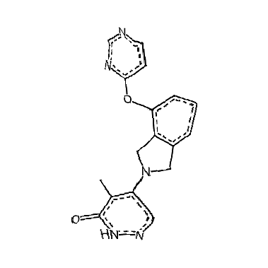 Cc1c(N2Cc3cccc(Oc4ccncn4)c3C2)cn[nH]c1=O